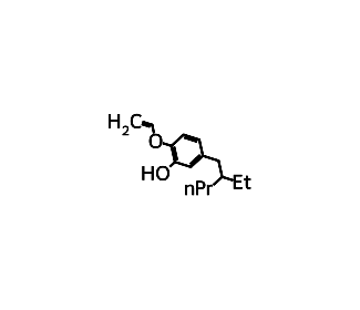 C=COc1ccc(CC(CC)CCC)cc1O